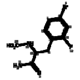 NC(=O)[C@H](Cc1ccc(Br)cc1F)NC(=O)O